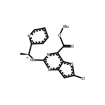 C[C@H](Nc1nc(C(=O)OC(C)(C)C)c2sc(Cl)cc2n1)c1ccccn1